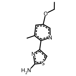 CCOc1cnc(-c2csc(N)n2)c(C)c1